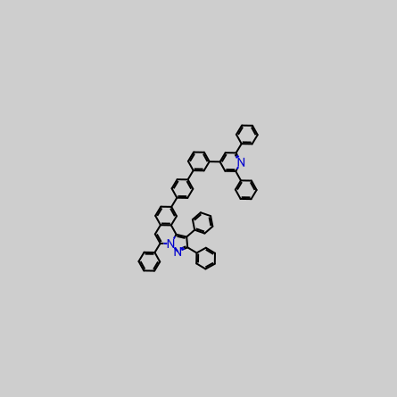 c1ccc(-c2cc(-c3cccc(-c4ccc(-c5ccc6cc(-c7ccccc7)n7nc(-c8ccccc8)c(-c8ccccc8)c7c6c5)cc4)c3)cc(-c3ccccc3)n2)cc1